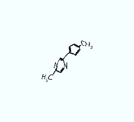 Cc1ccc(-c2cnc(C)cn2)cc1